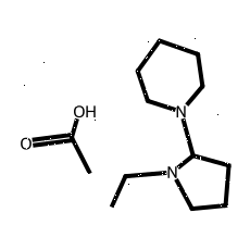 CC(=O)O.CCN1CCCC1N1CCCCC1